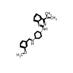 COc1cccc(CN[C@H]2CC[C@@H](Nc3nc(N(C)C)c4ccccc4n3)CC2)c1